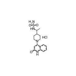 CC(NS(N)(=O)=O)C1CCN(c2cc(=O)[nH]c3ccccc23)CC1.Cl